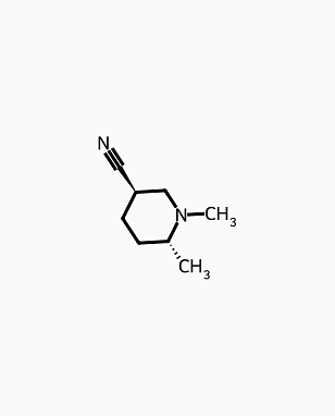 C[C@@H]1CC[C@@H](C#N)CN1C